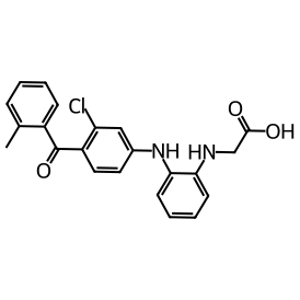 Cc1ccccc1C(=O)c1ccc(Nc2ccccc2NCC(=O)O)cc1Cl